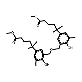 COC(=O)CCCC(C)(C)c1cc(C)c(O)c(COCc2cc(C(C)(C)CCCC(=O)OC)cc(C)c2O)c1